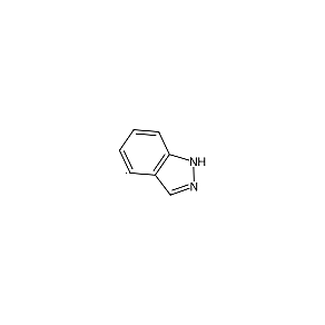 [c]1cccc2[nH]ncc12